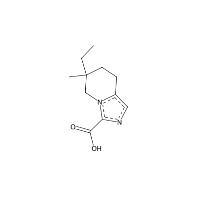 CCC1(C)CCc2cnc(C(=O)O)n2C1